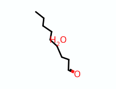 CCCCCCCCC=O.O